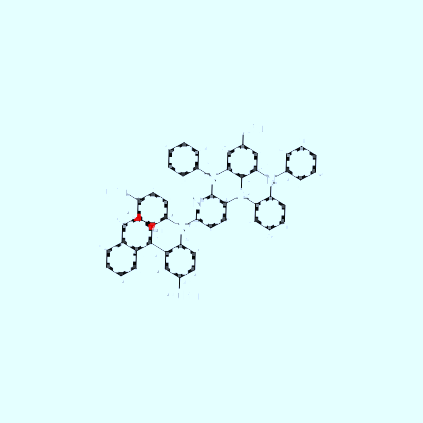 CC(C)(C)c1ccc(N(c2ccc3c(n2)N(c2ccccc2)c2cc(C(C)(C)C)cc4c2B3c2ccccc2N4c2ccccc2)c2ccc(C(C)(C)C)cc2-c2cccc3ccccc23)cc1